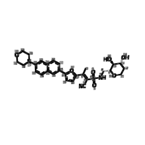 C/C(=C(/C#N)S(=O)(=O)NC[C@H]1OCC[C@@H](O)[C@@H]1O)c1ccc(-c2ccc3cc(N4CCOCC4)ccc3c2)o1